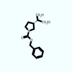 CCOC(=O)C(C(=O)O)[C@H]1CCN(C(=O)OCc2ccccc2)C1